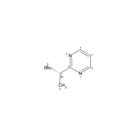 C[C@@H](c1ncccn1)C(C)(C)C